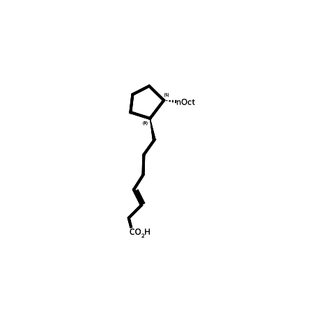 CCCCCCCC[C@H]1CCC[C@@H]1CCCC=CCC(=O)O